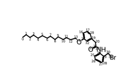 CCCCCCCCCCCCCCOc1cccc(CC(=O)Nc2ccccc2CBr)c1